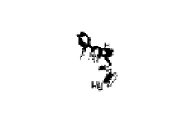 CNC(=O)N(C)CC12CC[C@H](c3cc(-c4ccccc4F)nnc31)C2(C)C